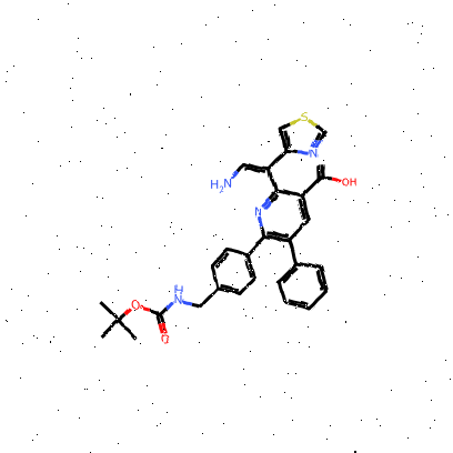 C=C(O)c1cc(-c2ccccc2)c(-c2ccc(CNC(=O)OC(C)(C)C)cc2)nc1/C(=C\N)c1cscn1